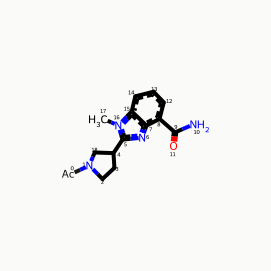 CC(=O)N1CCC(c2nc3c(C(N)=O)cccc3n2C)C1